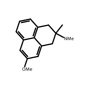 CNC1(C)Cc2cccc3cc(OC)cc(c23)C1